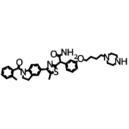 Cc1ccccc1C(=O)N1CCc2cc(-c3nc(C(C(N)=O)c4cccc(OCCCCN5CCNCC5)c4)sc3C)ccc21